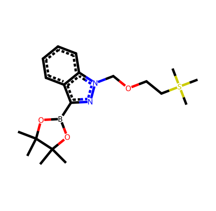 CC1(C)OB(c2nn(COCCS(C)(C)C)c3ccccc23)OC1(C)C